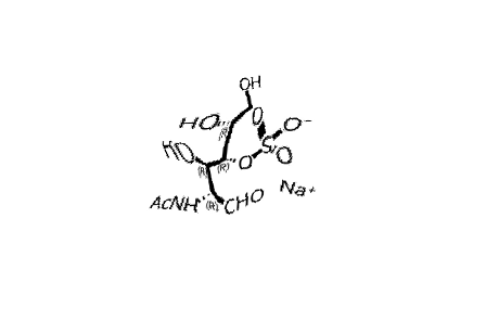 CC(=O)N[C@@H](C=O)[C@@H](O)[C@@H](OS(=O)(=O)[O-])[C@H](O)CO.[Na+]